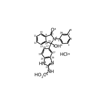 Cc1cccc(N2C(=O)c3ccccc3C2(O)c2ccc3[nH]c(NC(=O)O)nc3c2)c1.Cl